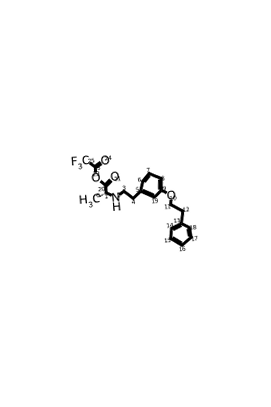 C[C@@H](NCCc1cccc(OCCc2ccccc2)c1)C(=O)OC(=O)C(F)(F)F